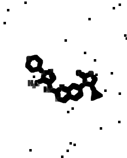 Cc1c(Nc2ncc3ccc(N4C(=O)OCC4C4CC4)cc3n2)cnn1C1CCOCC1